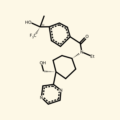 CCN(C(=O)c1ccc([C@](C)(O)C(F)(F)F)cc1)[C@H]1CC[C@](CO)(c2cnccn2)CC1